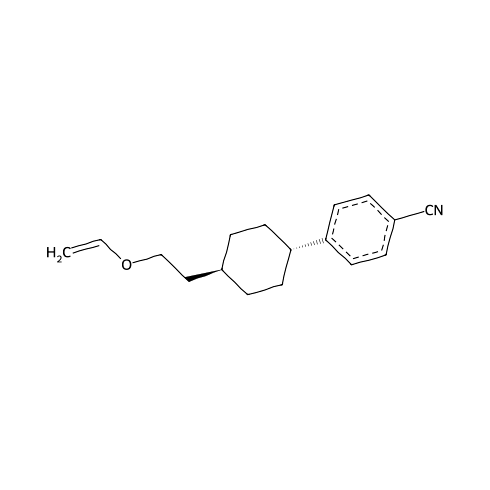 C=COCC[C@H]1CC[C@H](c2ccc(C#N)cc2)CC1